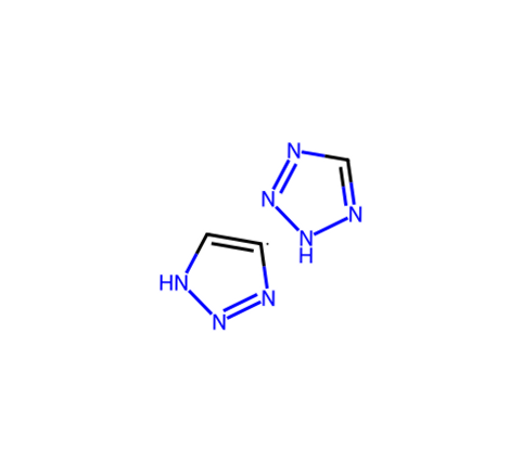 [c]1c[nH]nn1.c1nn[nH]n1